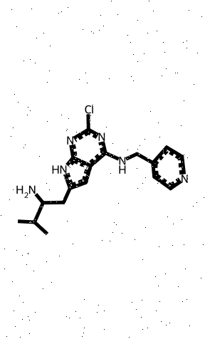 CC(C)C(N)Cc1cc2c(NCc3ccncc3)nc(Cl)nc2[nH]1